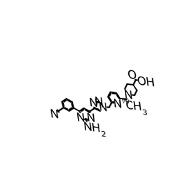 C[C@H](c1cccc(Cn2cc(-c3cc(-c4cccc(C#N)c4)nc(N)n3)nn2)n1)N1CCC(C(=O)O)CC1